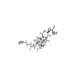 CC(C)CCC[C@@H](C)[C@H]1CC[C@H]2[C@@H]3CC=C4CC(OC(C)S)CC[C@]4(C)[C@H]3CC[C@]12C